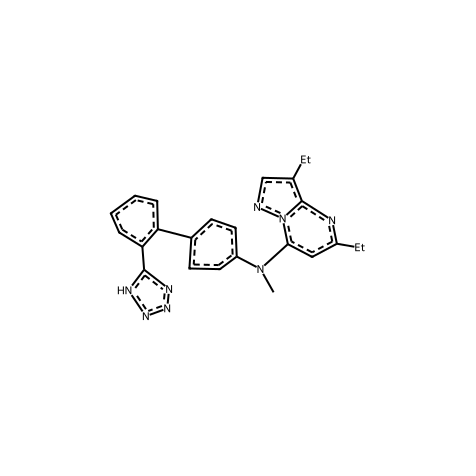 CCc1cc(N(C)c2ccc(-c3ccccc3-c3nnn[nH]3)cc2)n2ncc(CC)c2n1